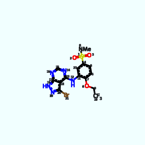 CNS(=O)(=O)c1ccc(OCC(F)(F)F)c(Nc2ncnc3[nH]nc(Br)c23)c1